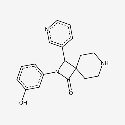 O=C1N(c2cccc(O)c2)C(c2cccnc2)C12CCNCC2